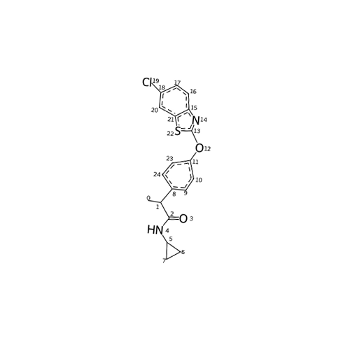 CC(C(=O)NC1CC1)c1ccc(Oc2nc3ccc(Cl)cc3s2)cc1